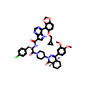 COc1ccc(C2=NN(C3CCN(C(=O)[C@@H](Cc4ccc(Cl)cc4)NC(=O)c4c[nH]c5c(-c6c(OCC7CC7)ccc7c6OCO7)ncnc45)CC3)C(=O)[C@@H]3CCCC[C@H]23)cc1OC